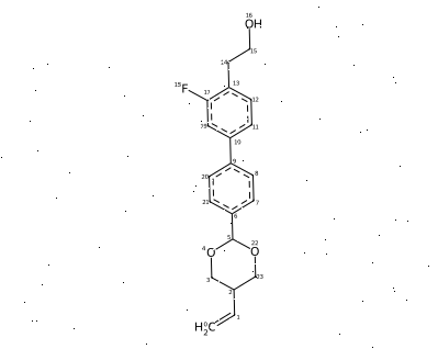 C=CC1COC(c2ccc(-c3ccc(CCO)c(F)c3)cc2)OC1